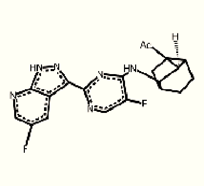 CC(=O)[C@H]1C2CCC(CC2)C1Nc1nc(-c2n[nH]c3ncc(F)cc23)ncc1F